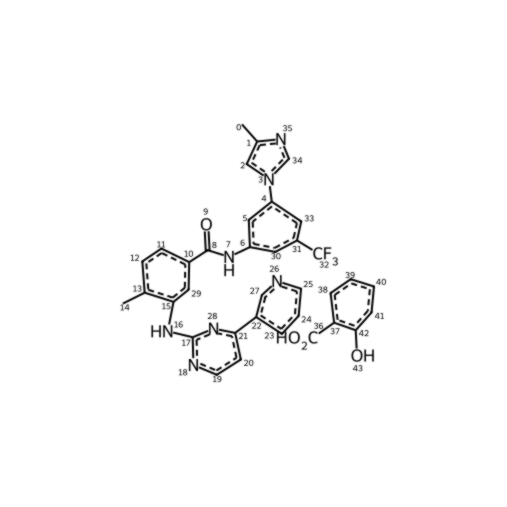 Cc1cn(-c2cc(NC(=O)c3ccc(C)c(Nc4nccc(-c5cccnc5)n4)c3)cc(C(F)(F)F)c2)cn1.O=C(O)c1ccccc1O